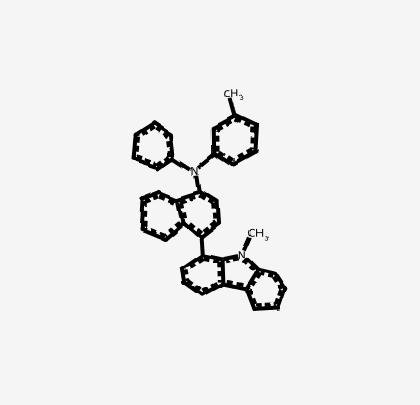 Cc1cccc(N(c2ccccc2)c2ccc(-c3cccc4c5ccccc5n(C)c34)c3ccccc23)c1